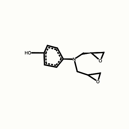 Oc1ccc(N(CC2CO2)C[C@H]2CO2)cc1